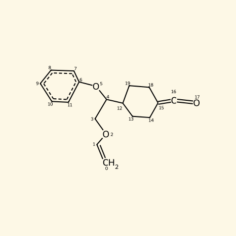 C=COCC(Oc1ccccc1)C1CCC(=C=O)CC1